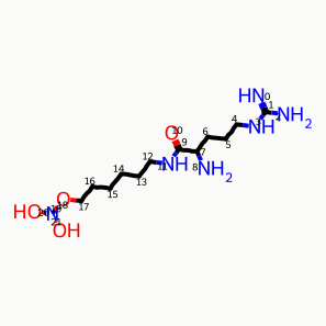 N=C(N)NCCCC(N)C(=O)NCCCCCCON(O)O